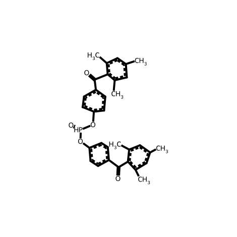 Cc1cc(C)c(C(=O)c2ccc(O[PH](=O)Oc3ccc(C(=O)c4c(C)cc(C)cc4C)cc3)cc2)c(C)c1